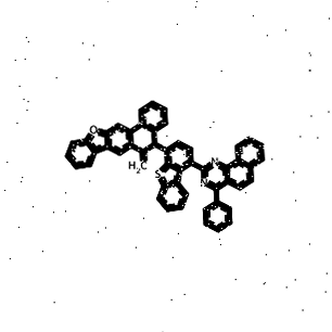 C=C1c2cc3c(cc2-c2ccccc2C1c1ccc(-c2nc(-c4ccccc4)c4ccc5ccccc5c4n2)c2c1sc1ccccc12)oc1ccccc13